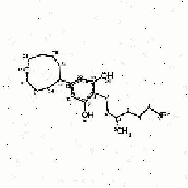 CC(C)CCCC(C)CCc1c(O)cc(C2CCCCCCCC2)cc1O